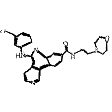 O=C(NCCN1CCOCC1)c1ccc2c(c1)nc(Nc1cccc(Cl)c1)c1ccncc12